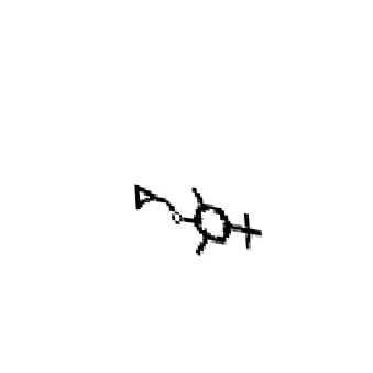 Cc1cc(C(C)(C)C)cc(C)c1OCC1CC1